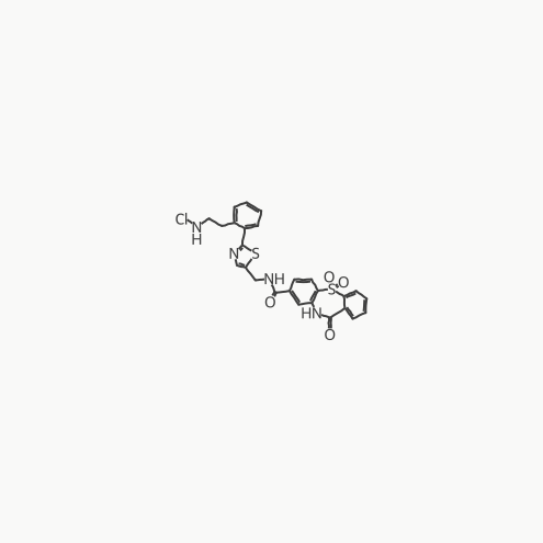 O=C(NCc1cnc(-c2ccccc2CCNCl)s1)c1ccc2c(c1)NC(=O)c1ccccc1S2(=O)=O